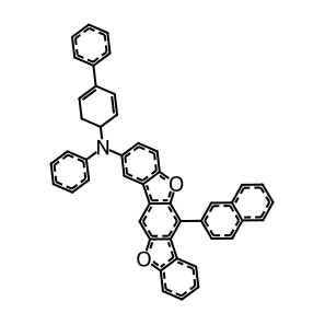 C1=CC(N(c2ccccc2)c2ccc3oc4c(-c5ccc6ccccc6c5)c5c(cc4c3c2)oc2ccccc25)CC=C1c1ccccc1